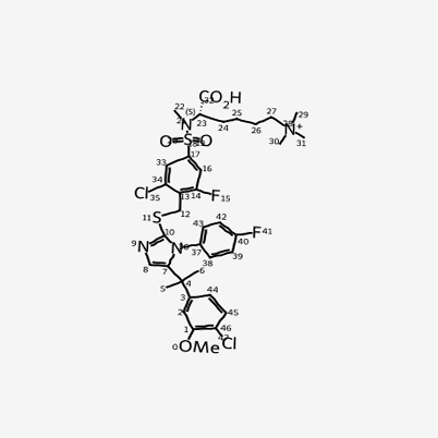 COc1cc(C(C)(C)c2cnc(SCc3c(F)cc(S(=O)(=O)N(C)[C@@H](CCCC[N+](C)(C)C)C(=O)O)cc3Cl)n2-c2ccc(F)cc2)ccc1Cl